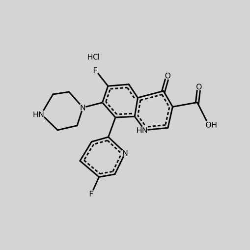 Cl.O=C(O)c1c[nH]c2c(-c3ccc(F)cn3)c(N3CCNCC3)c(F)cc2c1=O